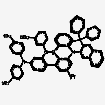 CC(C)c1cc2c3c(c1)N1c4cc5ccccc5cc4C(c4ccccc4)(c4ccccc4)c4cccc(c41)B3N(c1cccc(C(C)(C)C)c1)c1cc(N(c3ccc(C(C)(C)C)cc3)c3ccc(C(C)(C)C)cc3)ccc1-2